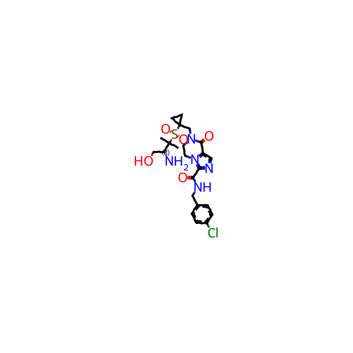 CC(C)([C@H](N)CO)S(=O)(=O)C1(CN2CCn3c(cnc3C(=O)NCc3ccc(Cl)cc3)C2=O)CC1